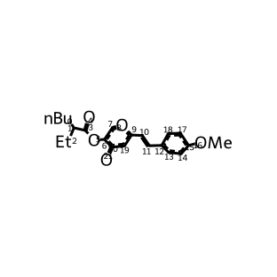 CCCCC(CC)C(=O)Oc1coc(C=Cc2ccc(OC)cc2)cc1=O